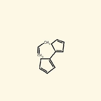 C1=CCC(C2=CC=CC2)=C1.C=CC